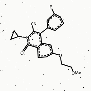 COCCOc1ccc2c(=O)n(C3CC3)c(C#N)c(-c3cccc(F)c3)c2c1